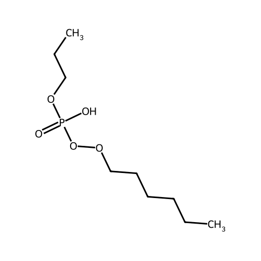 CCCCCCOOP(=O)(O)OCCC